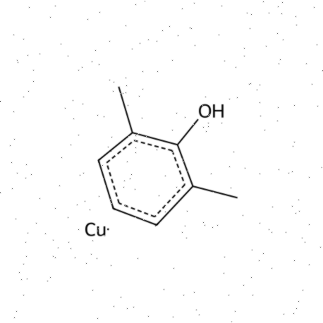 Cc1cccc(C)c1O.[Cu]